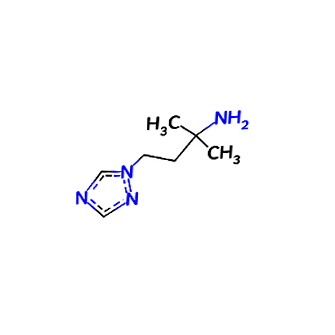 CC(C)(N)CCn1cncn1